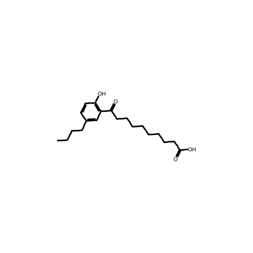 CCCCc1ccc(O)c(C(=O)CCCCCCCCC(=O)O)c1